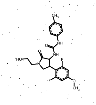 COc1cc(F)c(C2CN(CCO)C(=O)C2NC(=O)Nc2ccc(C)cc2)c(F)c1